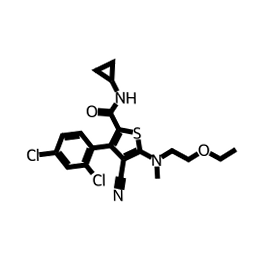 CCOCCN(C)c1sc(C(=O)NC2CC2)c(-c2ccc(Cl)cc2Cl)c1C#N